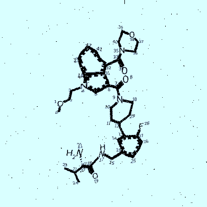 COCCn1cc(C(=O)N2CCC(c3cc(CNC(=O)[C@@H](N)C(C)C)ccc3F)CC2)c2c(C(=O)N3CCOCC3)cccc21